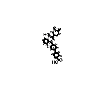 Cc1ccccc1[C@H](C/C(=N/O)C1CCC(=O)N(C)C1)c1ccc(-c2ccc(C(=O)O)cc2)cc1